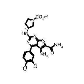 NC(=O)c1sc2nc(N[C@H]3CCN(C(=O)O)C3)nc(-c3ccc(Cl)c(Cl)c3)c2c1N